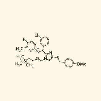 COc1ccc(CSc2cn(COCC[Si](C)(C)C)c(C(Nc3ccc(F)c(C)n3)c3cccc(Cl)c3)n2)cc1